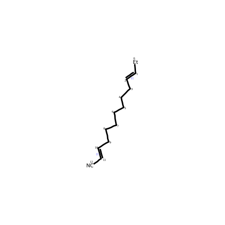 CC/C=C/CCCCCCC/C=C/C#N